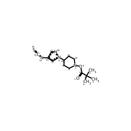 CC(C)(C)C(=O)ON1CCC(n2cc(N=C=S)cn2)CC1